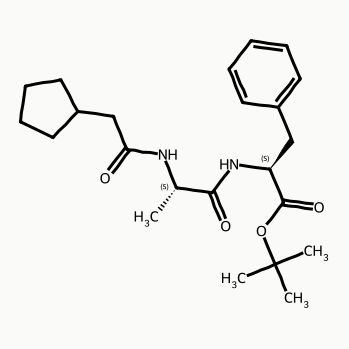 C[C@H](NC(=O)CC1CCCC1)C(=O)N[C@@H](Cc1ccccc1)C(=O)OC(C)(C)C